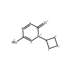 CC(C)(C)c1ccc(=O)n(C2CCC2)c1